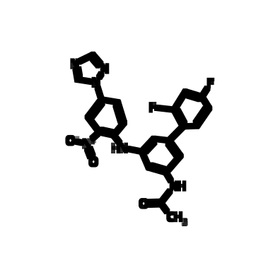 CC(=O)Nc1cc(Nc2ccc(-n3cncn3)cc2[N+](=O)[O-])cc(-c2ccc(F)cc2F)c1